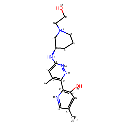 Cc1cc(N[C@@H]2CCCN(CCO)C2)nnc1-c1ncc(C(F)(F)F)cc1O